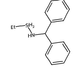 CC[SiH2]NC(c1ccccc1)c1ccccc1